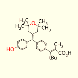 CC(C(=O)O)=C(c1ccc(C(=C2CC(C)(C)OC(C)(C)C2)c2ccc(O)cc2)cc1)C(C)(C)C